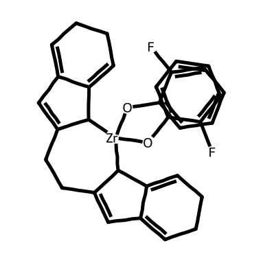 Fc1ccccc1[O][Zr]1([O]c2ccccc2F)[CH]2C(=CC3=CCCC=C32)CCC2=CC3=CCCC=C3[CH]21